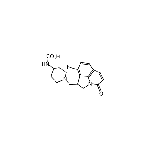 O=C(O)NC1CCN(CC2Cn3c(=O)ccc4ccc(F)c2c43)CC1